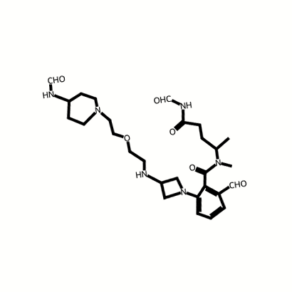 CC(CCC(=O)NC=O)N(C)C(=O)c1c(C=O)cccc1N1CC(NCCOCCN2CCC(NC=O)CC2)C1